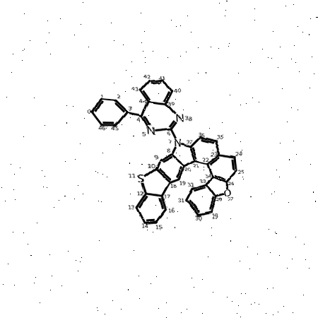 c1ccc(-c2nc(-n3c4cc5sc6ccccc6c5cc4c4c5c(ccc6oc7ccccc7c65)ccc43)nc3ccccc23)cc1